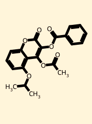 CC(=O)Oc1c(OC(=O)c2ccccc2)c(=O)oc2cccc(OC(C)C)c12